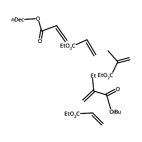 C=C(C)C(=O)OCC.C=C(CC)C(=O)OCC(C)C.C=CC(=O)OCC.C=CC(=O)OCC.C=CC(=O)OCCCCCCCCCC